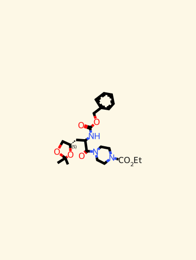 CCOC(=O)N1CCN(C(=O)C(C[C@H]2COC(C)(C)O2)NC(=O)OCc2ccccc2)CC1